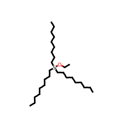 CCCCCCCCC[Si](CCCCCCCCC)(CCCCCCCCC)OCC